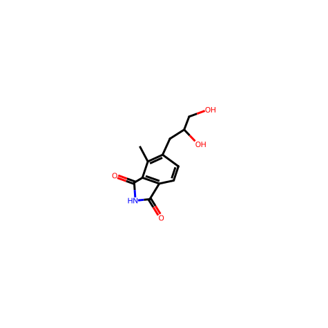 Cc1c(CC(O)CO)ccc2c1C(=O)NC2=O